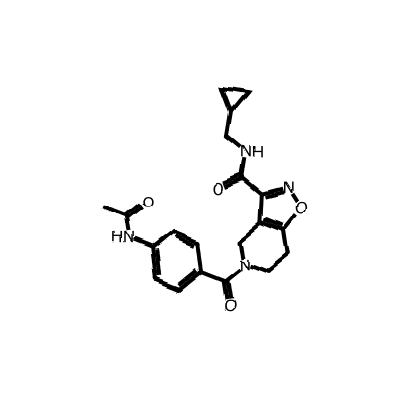 CC(=O)Nc1ccc(C(=O)N2CCc3onc(C(=O)NCC4CC4)c3C2)cc1